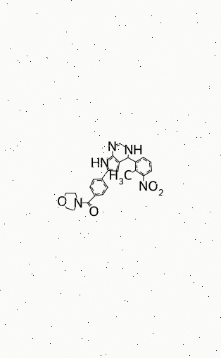 Cc1c(C2NC=Nc3[nH]c(-c4ccc(C(=O)N5CCOCC5)cc4)cc32)cccc1[N+](=O)[O-]